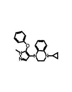 Cn1ncc(N2CCN(C3CC3)c3ccccc32)c1Oc1ccccc1